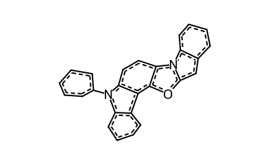 c1ccc(-n2c3ccccc3c3c4oc5cc6ccccc6n5c4ccc32)cc1